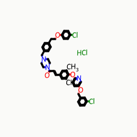 Cc1cc(/C=C/C(=O)N2CCN(Cc3ccc(CCOc4ccc(Cl)cc4)cc3)CC2)cc(C)c1Oc1ccc(OCc2cccc(Cl)c2)cn1.Cl